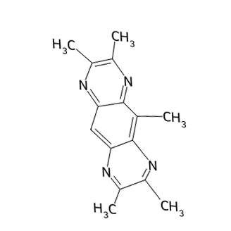 Cc1nc2cc3nc(C)c(C)nc3c(C)c2nc1C